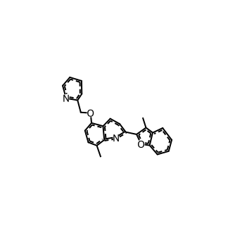 Cc1c(-c2ccc3c(OCc4ccccn4)ccc(C)c3n2)oc2ccccc12